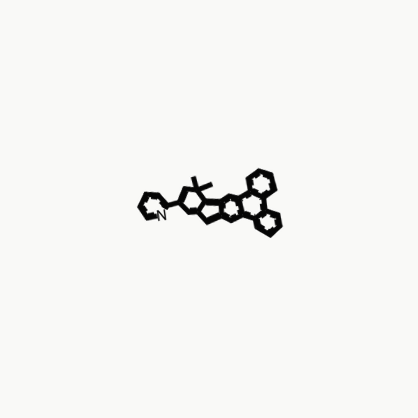 CC1(C)C=C(c2ccccn2)C=C2C=c3cc4c5ccccc5c5ccccc5c4cc3=C21